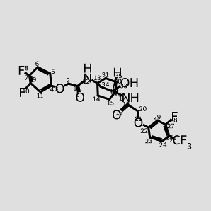 O=C(COc1ccc(F)c(F)c1)NC12CCC(NC(=O)COc3ccc(C(F)(F)F)c(F)c3)(CC1)[C@@H](O)C2